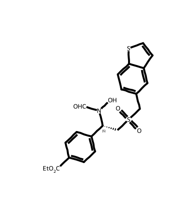 CCOC(=O)c1ccc([C@@H](CS(=O)(=O)Cc2ccc3sccc3c2)N(O)C=O)cc1